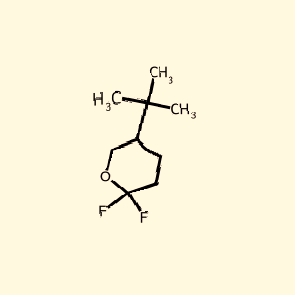 CC(C)(C)C1CCC(F)(F)OC1